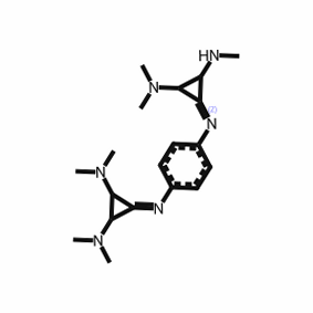 CNC1/C(=N/c2ccc(N=C3C(N(C)C)C3N(C)C)cc2)C1N(C)C